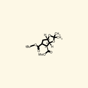 COC(=O)[C@H]1C(C(=O)OC(C)(C)C)C[C@@H]2OC(C)(C)O[C@@H]21